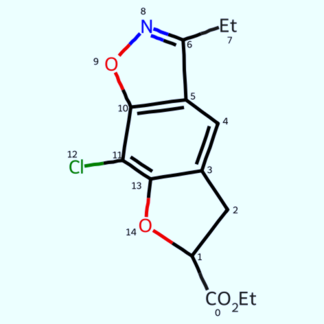 CCOC(=O)C1Cc2cc3c(CC)noc3c(Cl)c2O1